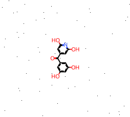 O=C(c1cc(O)cc(O)c1)c1cc(O)nc(O)c1